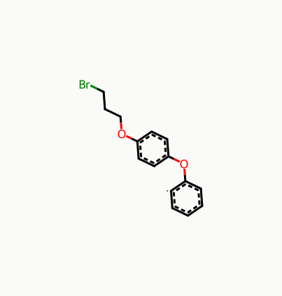 BrCCCOc1ccc(Oc2[c]cccc2)cc1